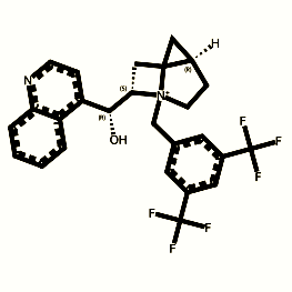 O[C@H](c1ccnc2ccccc12)[C@@H]1CC23C[C@H]2CC[N+]13Cc1cc(C(F)(F)F)cc(C(F)(F)F)c1